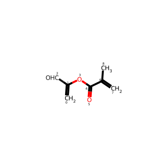 C=C(C=O)OC(=O)C(=C)C